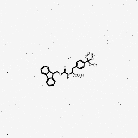 CCOC(OCC)(P=O)c1ccc(C[C@H](NC(=O)OCC2c3ccccc3-c3ccccc32)C(=O)O)cc1